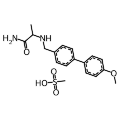 COc1ccc(-c2ccc(CNC(C)C(N)=O)cc2)cc1.CS(=O)(=O)O